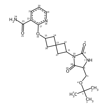 CC(C)(C)OCC1NC(=O)N(C2CC3(CC(Oc4ncccc4C(N)=O)C3)C2)C1=O